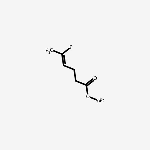 CCCOC(=O)CCC=C(F)C(F)(F)F